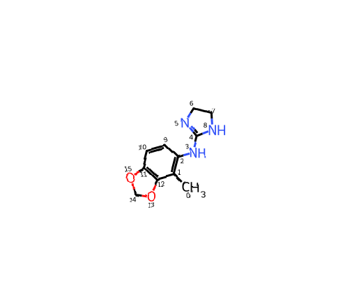 Cc1c(NC2=NCCN2)ccc2c1OCO2